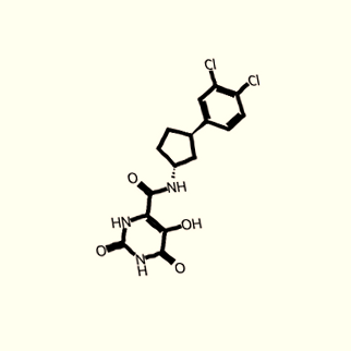 O=C(N[C@@H]1CC[C@@H](c2ccc(Cl)c(Cl)c2)C1)c1[nH]c(=O)[nH]c(=O)c1O